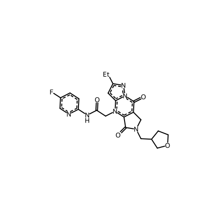 CCc1cc2n(CC(=O)Nc3ccc(F)cn3)c3c(c(=O)n2n1)CN(CC1CCOC1)C3=O